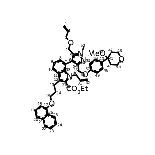 C=CCOCc1c(-c2cccc3c(CCCOc4cccc5ccccc45)c(C(=O)OCC)n(CC=C)c23)c(COc2ccc(C3(OC)CCOCC3)cc2)nn1C